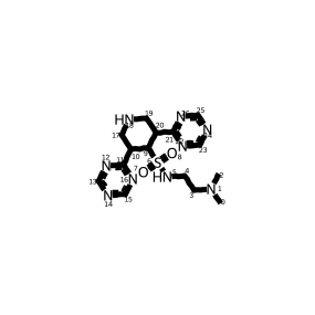 CN(C)CCNS(=O)(=O)C1C(c2ncncn2)CNCC1c1ncncn1